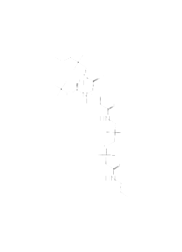 CCCNC(=O)CC(C)(C)OCC(C)(C)CNC(=O)CC[C@H](NC(=O)OC(C)(C)C)C(=O)NCC(C)(C)COC